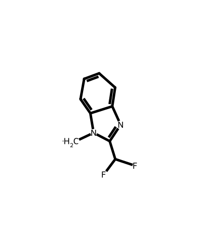 [CH2]n1c(C(F)F)nc2ccccc21